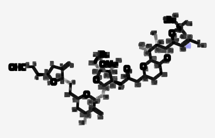 C=C1C[C@H](CCC=O)O[C@H]1CCC1C[C@@H](C)C(=C)[C@@H](C[C@@H]2O[C@H](C[C@H](C)CC)[C@H](OC)[C@H]2CC(=O)CC2CCC3O[C@@H]([C@H](/C=C/I)O[Si](C)(C)C(C)(C)C)[C@@H](C)[C@@H](C)C3O2)O1